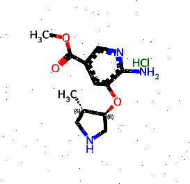 COC(=O)c1cnc(N)c(O[C@H]2CNC[C@@H]2C)c1.Cl